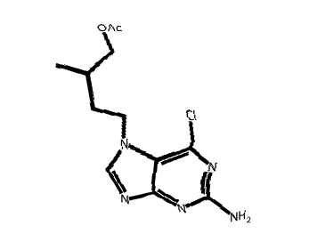 CC(=O)OCC(C)CCn1cnc2nc(N)nc(Cl)c21